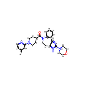 Cc1ccnc(N2CCC(C(=O)N3CCc4[nH]c(N5CCOCC5)nc4-c4ccccc43)CC2)c1